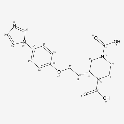 O=C(O)N1CCN(C(=O)O)[C@H](CCOc2ccc(-n3ccnc3)cc2)C1